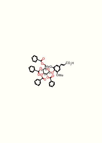 COc1cc(C=CC(=O)O)cc(OC)c1O[C@@H]1O[C@H](COC(=O)c2ccccc2)[C@@H](OC(=O)c2ccccc2)[C@H](OC(=O)c2ccccc2)[C@H]1OC(=O)c1ccccc1